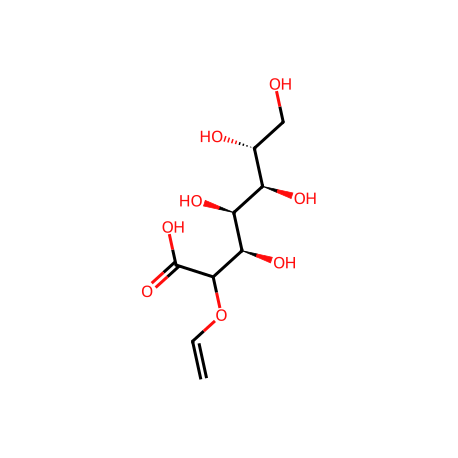 C=COC(C(=O)O)[C@H](O)[C@@H](O)[C@H](O)[C@H](O)CO